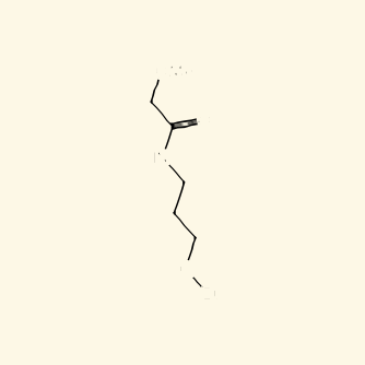 CCOCCCNC(=O)COC